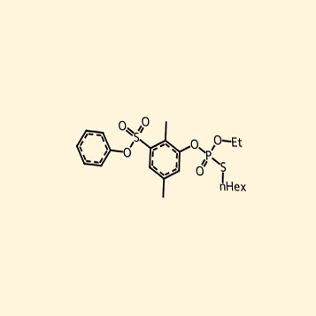 CCCCCCSP(=O)(OCC)Oc1cc(C)cc(S(=O)(=O)Oc2ccccc2)c1C